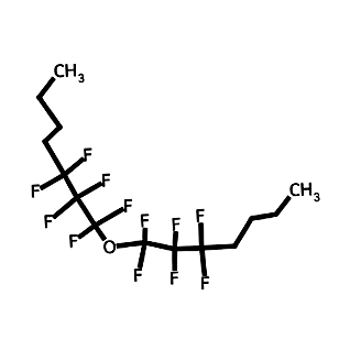 CCCCC(F)(F)C(F)(F)C(F)(F)OC(F)(F)C(F)(F)C(F)(F)CCCC